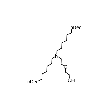 CCCCCCCCCCCCCCCCN(CCCCCCCCCCCCCCCC)CCOCCO